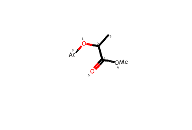 [CH2]C(=O)OC(C)C(=O)OC